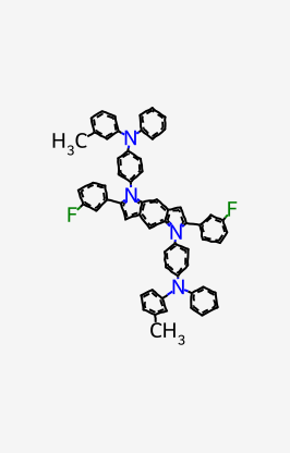 Cc1cccc(N(c2ccccc2)c2ccc(-n3c(-c4cccc(F)c4)cc4cc5c(cc(-c6cccc(F)c6)n5-c5ccc(N(c6ccccc6)c6cccc(C)c6)cc5)cc43)cc2)c1